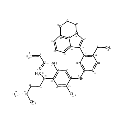 C=CC(=O)Nc1cc(Nc2ncc(CC)c(-c3cn4c5c(cccc35)OCC4)n2)c(C)cc1N(C)CCN(C)C